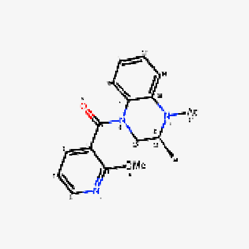 COc1ncccc1C(=O)N1C[C@H](C)N(C(C)=O)c2ccccc21